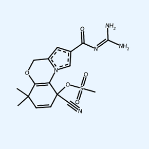 CC1(C)C=CC(C#N)(OS(C)(=O)=O)C2=C1OCc1cc(C(=O)N=C(N)N)cn12